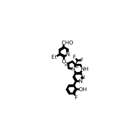 CCc1cc(C=O)cnc1O[C@H]1CN2c3cc(-c4cccc(F)c4O)nnc3NC[C@@]2(C(F)F)C1